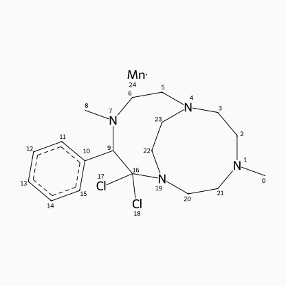 CN1CCN2CCN(C)C(c3ccccc3)C(Cl)(Cl)N(CC1)CC2.[Mn]